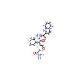 O=C[C@H](C[C@@H]1CCNC1=O)NC(=O)[C@H](CC1CCCCC1)NC(=O)c1cnc2ccccc2n1